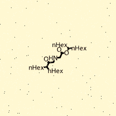 CCCCCCC(CCCCCC)OC(=O)CNCC(=O)C(CCCCCC)CCCCCC